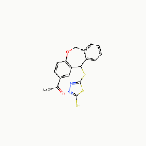 COC(=O)c1ccc2c(c1)C(Sc1nnc(S)s1)c1ccccc1CO2